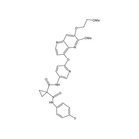 COCCOc1cc2nccc(Oc3ccc(NC(=O)C4(C(=O)Nc5ccc(F)cc5)CC4)cn3)c2nc1OC